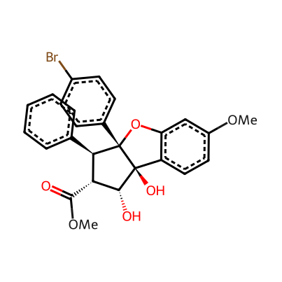 COC(=O)[C@H]1[C@@H](O)[C@@]2(O)c3ccc(OC)cc3O[C@@]2(c2ccc(Br)cc2)[C@@H]1c1ccccc1